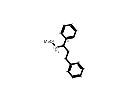 CO[SiH2]C(CCc1ccccc1)c1ccccc1